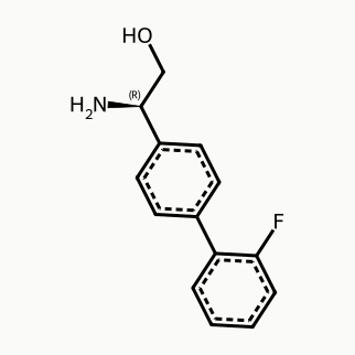 N[C@@H](CO)c1ccc(-c2ccccc2F)cc1